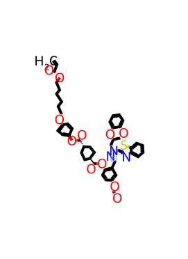 C=CC(=O)OCCCCCCOc1ccc(OC(=O)[C@H]2CC[C@H](C(=O)Oc3ccc(OC=O)cc3/C=N/N(CC3COc4ccccc4O3)c3nc4ccccc4s3)CC2)cc1